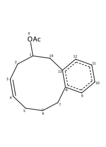 CC(=O)OC1C/C=C\C[C]Cc2ccccc2C1